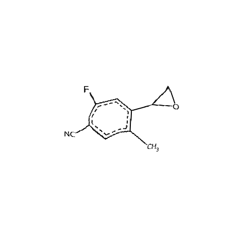 Cc1cc(C#N)c(F)cc1C1CO1